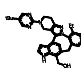 CCc1cccc2c1-n1nc3c(c1-c1cc(c(CO)c4[nH]ccc14)C2)CN(c1ncc(C(C)(C)C)cn1)CC3